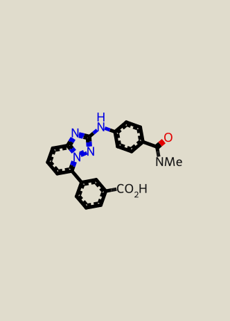 CNC(=O)c1ccc(Nc2nc3cccc(-c4cccc(C(=O)O)c4)n3n2)cc1